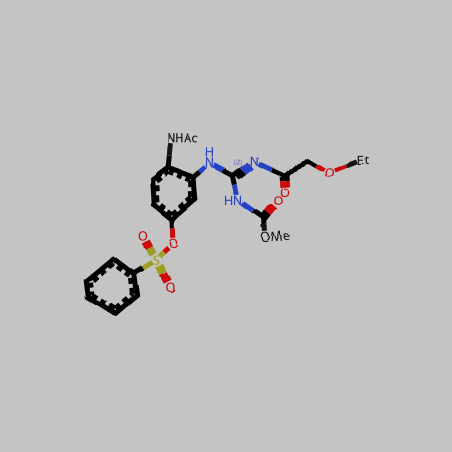 CCOCC(=O)/N=C(\NC(=O)OC)Nc1cc(OS(=O)(=O)c2ccccc2)ccc1NC(C)=O